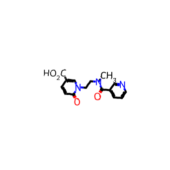 CN(CCn1cc(C(=O)O)ccc1=O)C(=O)c1cccnc1